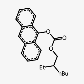 CCCCC(CC)COC(=O)Oc1c2ccccc2cc2ccccc12